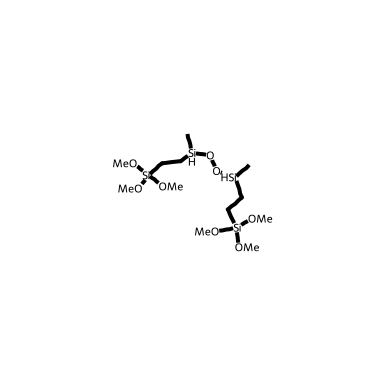 CO[Si](CC[SiH](C)OO[SiH](C)CC[Si](OC)(OC)OC)(OC)OC